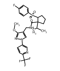 COc1nn(-c2ccc(C(F)(F)F)nc2)cc1CNC(=O)C1(C(C)C)CCCC1S(=O)(=O)c1ccc(F)cc1